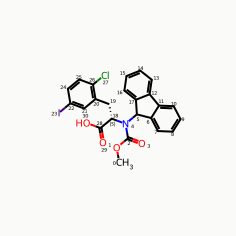 COC(=O)N(C1c2ccccc2-c2ccccc21)[C@@H](Cc1cc(I)ccc1Cl)C(=O)O